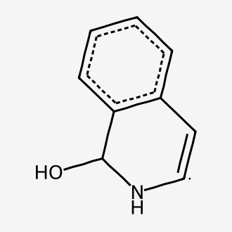 OC1N[C]=Cc2ccccc21